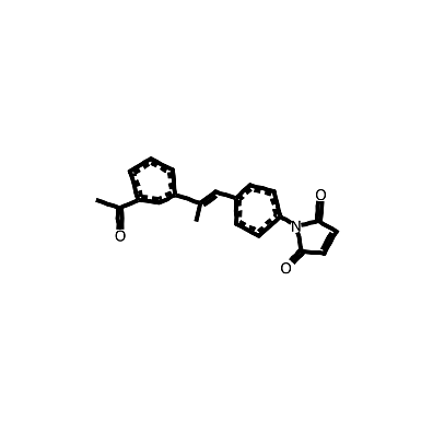 CC(=O)c1cccc(C(C)=Cc2ccc(N3C(=O)C=CC3=O)cc2)c1